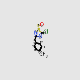 O=S=S1N=C(Cc2ccc(C(F)(F)F)cc2)N=C1Cl